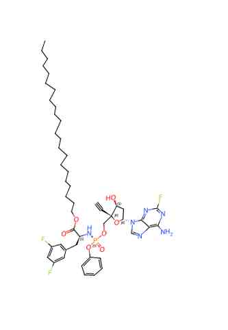 C#C[C@]1(CO[P@@](=O)(N[C@@H](Cc2cc(F)cc(F)c2)C(=O)OCCCCCCCCCCCCCCCCCCCCCC)Oc2ccccc2)O[C@@H](n2cnc3c(N)nc(F)nc32)C[C@@H]1O